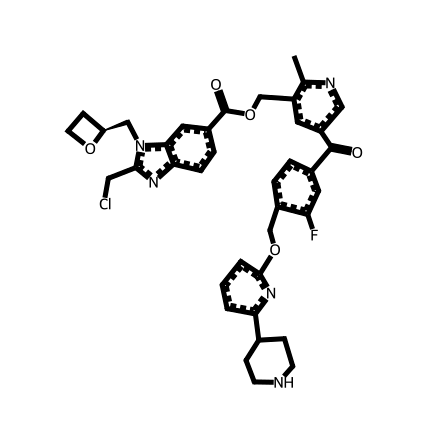 Cc1ncc(C(=O)c2ccc(COc3cccc(C4CCNCC4)n3)c(F)c2)cc1COC(=O)c1ccc2nc(CCl)n(C[C@@H]3CCO3)c2c1